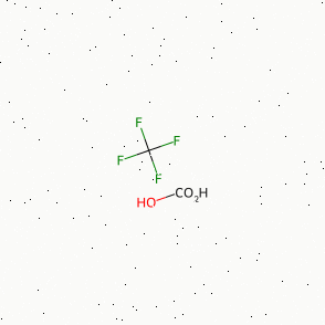 FC(F)(F)F.O=C(O)O